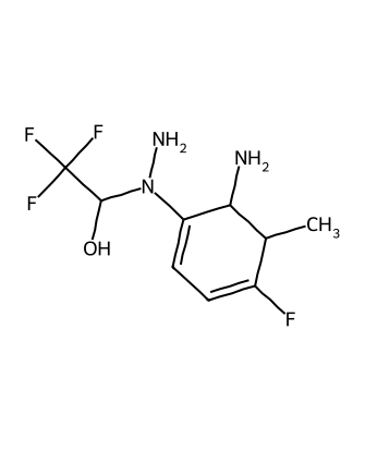 CC1C(F)=CC=C(N(N)C(O)C(F)(F)F)C1N